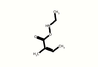 CC=C(C)C(=O)ONCC